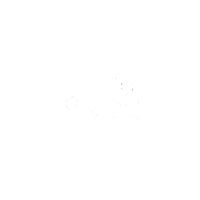 C[C@@H](NC(=O)OC(C)(C)C)c1cc(F)ccc1OCCCCNc1c(N)cnc2ccc(Br)cc12